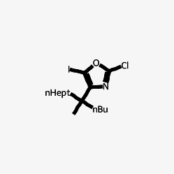 CCCCCCCC(C)(CCCC)c1nc(Cl)oc1I